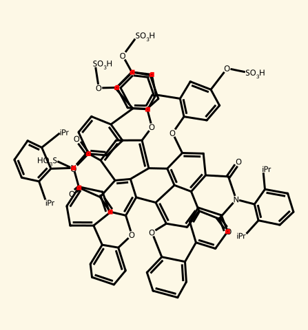 CC(C)c1cccc(C(C)C)c1N1C(=O)c2cc(Oc3ccccc3-c3ccccc3)c3c4c(Oc5ccccc5-c5ccccc5)cc5c6c(cc(Oc7ccc(OS(=O)(=O)O)cc7-c7ccc(OS(=O)(=O)O)cc7)c(c7c(Oc8ccc(OS(=O)(=O)O)cc8-c8ccc(OS(=O)(=O)O)cc8)cc(c2c37)C1=O)c64)C(=O)N(c1c(C(C)C)cccc1C(C)C)C5=O